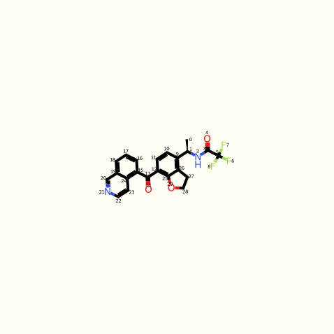 C[C@@H](NC(=O)C(F)(F)F)c1ccc(C(=O)c2cccc3cnccc23)c2c1CCO2